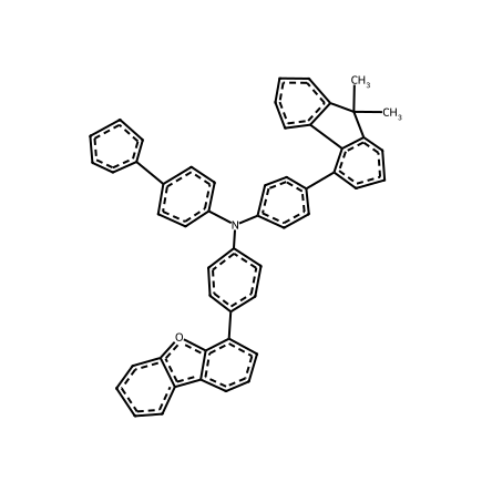 CC1(C)c2ccccc2-c2c(-c3ccc(N(c4ccc(-c5ccccc5)cc4)c4ccc(-c5cccc6c5oc5ccccc56)cc4)cc3)cccc21